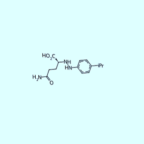 CC(C)c1ccc(NN[C@@H](CCC(N)=O)C(=O)O)cc1